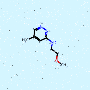 COCCNc1cc(C)cnn1